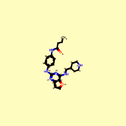 CCCC(=O)Nc1ccc(Nc2nc(NCC3CCNCC3)c3occc3n2)cc1